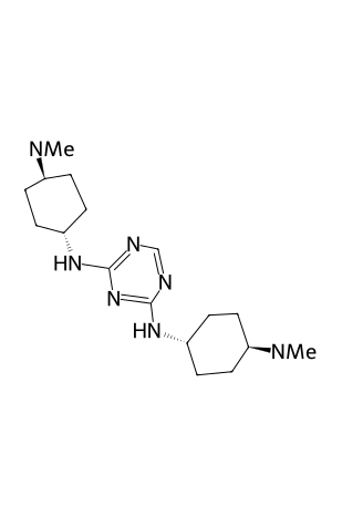 CN[C@H]1CC[C@H](Nc2ncnc(N[C@H]3CC[C@H](NC)CC3)n2)CC1